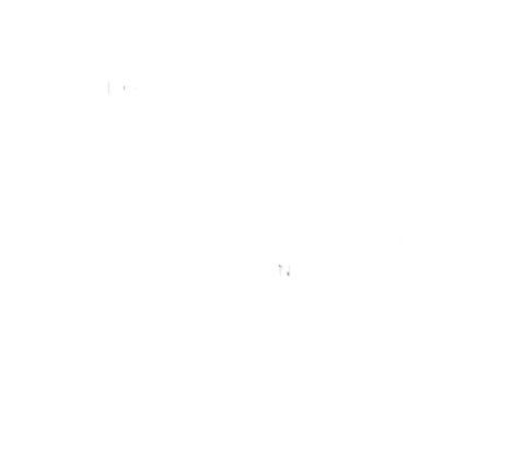 OCCCCCCN(Cc1ccccc1)c1ccccc1